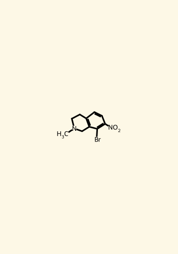 CN1CCc2ccc([N+](=O)[O-])c(Br)c2C1